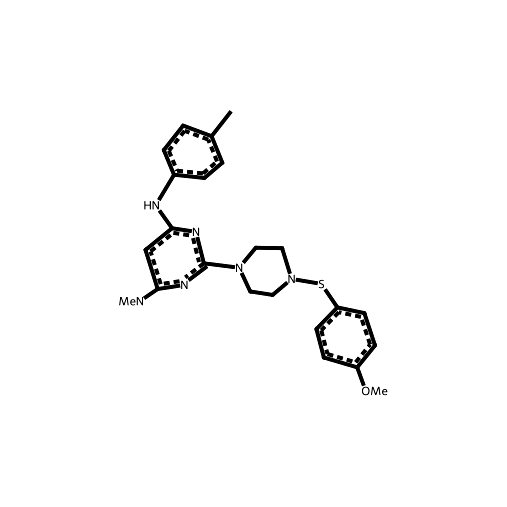 CNc1cc(Nc2ccc(C)cc2)nc(N2CCN(Sc3ccc(OC)cc3)CC2)n1